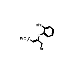 CCCc1ccccc1O/C(=C\C(=O)OCC)CBr